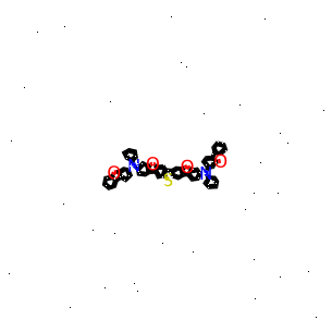 c1ccc(N(c2ccc3c(c2)oc2ccccc23)c2ccc3c(c2)oc2cc4c(cc23)sc2cc3c(cc24)oc2cc(N(c4ccccc4)c4ccc5c(c4)oc4ccccc45)ccc23)cc1